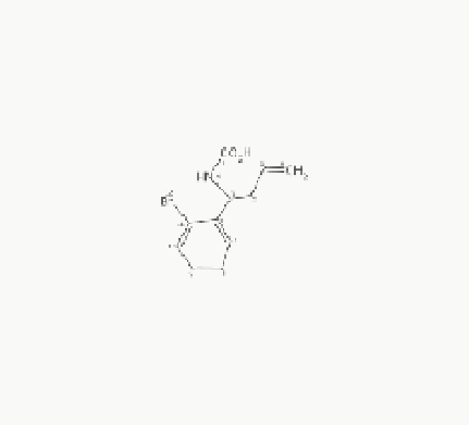 C=CCC(NC(=O)O)c1ccccc1Br